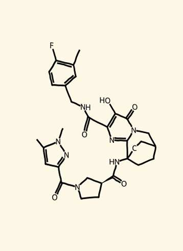 Cc1cc(CNC(=O)c2nc3n(c(=O)c2O)CC2CCC3(NC(=O)[C@H]3CCN(C(=O)c4cc(C)n(C)n4)C3)CC2)ccc1F